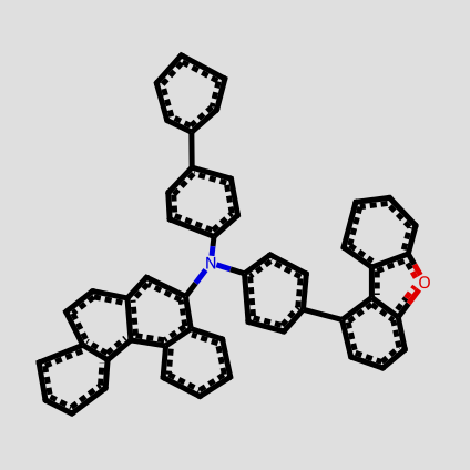 c1ccc(-c2ccc(N(c3ccc(-c4cccc5oc6ccccc6c45)cc3)c3cc4ccc5ccccc5c4c4ccccc34)cc2)cc1